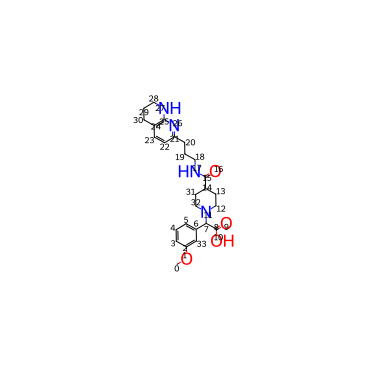 COc1cccc(C(C(=O)O)N2CCC(C(=O)NCCCc3ccc4c(n3)NCCC4)CC2)c1